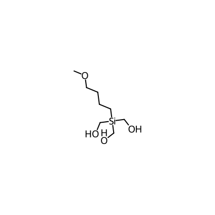 COCCCC[Si](CO)(CO)CO